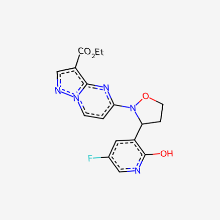 CCOC(=O)c1cnn2ccc(N3OCCC3c3cc(F)cnc3O)nc12